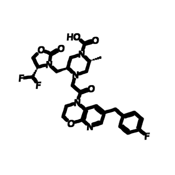 C[C@@H]1CN(CC(=O)N2CCOc3ncc(Cc4ccc(F)cc4)cc32)[C@@H](CN2C(=O)OC[C@H]2C(F)F)CN1C(=O)O